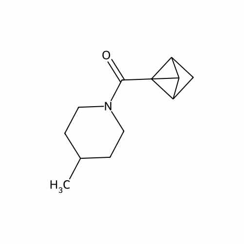 CC1CCN(C(=O)C2C3CC2C3)CC1